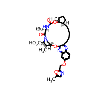 Cc1cnc(COc2ccc3nc4c(nc3c2)O[C@H]2CN(C(=O)[C@H](C(C)(C)C)NC(=O)O[C@]3(C)CCC[C@H]3CCCCC4)[C@H](C(=O)O)[C@@H]2C)o1